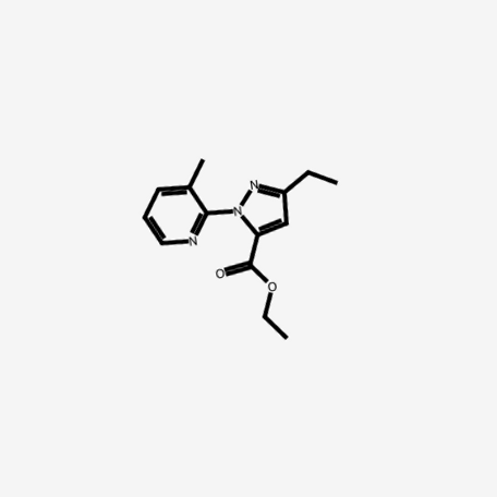 CCOC(=O)c1cc(CC)nn1-c1ncccc1C